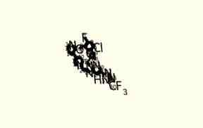 Fc1cc(Cl)ccc1COc1ncccc1C1CCN(Cc2nc3cc(-c4nnc(C(F)(F)F)[nH]4)cnc3n2C[C@@H]2CCO2)CC1